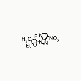 CC[C@H]1O[C@@H](n2cnc3c([N+](=O)[O-])ccnc32)[C@@H](F)[C@@H]1C